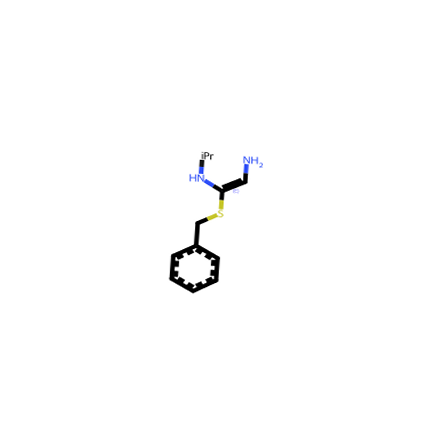 CC(C)N/C(=C\N)SCc1ccccc1